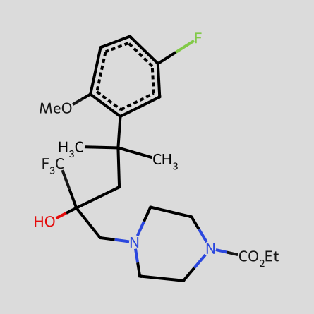 CCOC(=O)N1CCN(CC(O)(CC(C)(C)c2cc(F)ccc2OC)C(F)(F)F)CC1